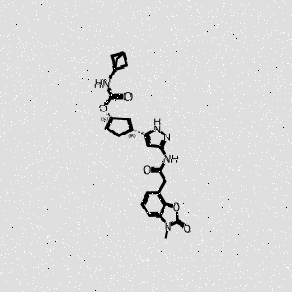 Cn1c(=O)oc2c(CC(=O)Nc3cc([C@@H]4CC[C@H](OC(=O)NC56CC(C5)C6)C4)[nH]n3)cccc21